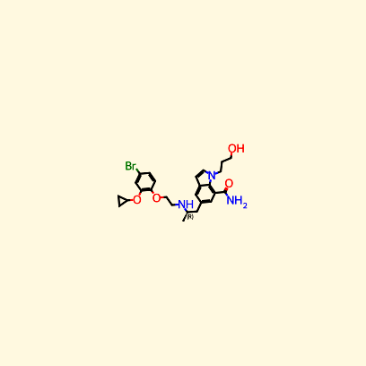 C[C@H](Cc1cc(C(N)=O)c2c(ccn2CCCO)c1)NCCOc1ccc(Br)cc1OC1CC1